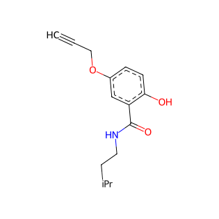 C#CCOc1ccc(O)c(C(=O)NCCC(C)C)c1